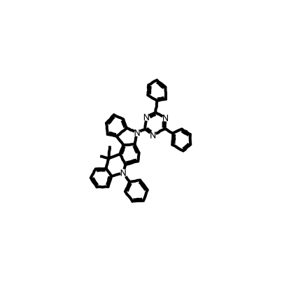 CC1(C)c2ccccc2N(c2ccccc2)c2ccc3c(c21)c1ccccc1n3-c1nc(-c2ccccc2)nc(-c2ccccc2)n1